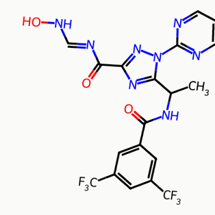 CC(NC(=O)c1cc(C(F)(F)F)cc(C(F)(F)F)c1)c1nc(C(=O)/N=C/NO)nn1-c1ncccn1